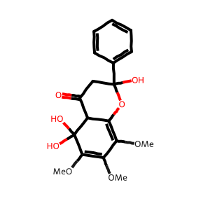 COC1=C2OC(O)(c3ccccc3)CC(=O)C2C(O)(O)C(OC)=C1OC